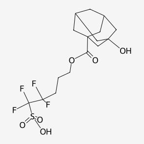 O=C(OCCCC(F)(F)C(F)(F)S(=O)(=O)O)C12CC3CC(CC(O)(C3)C1)C2